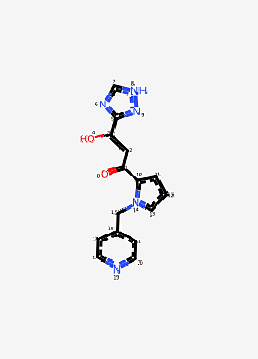 O=C(C=C(O)c1nc[nH]n1)c1cccn1Cc1ccncc1